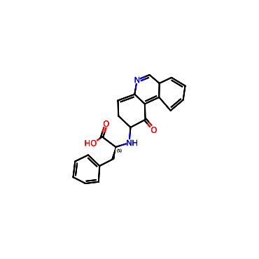 O=C1C2=C3C=CC=CC3C=NC2=CCC1N[C@@H](Cc1ccccc1)C(=O)O